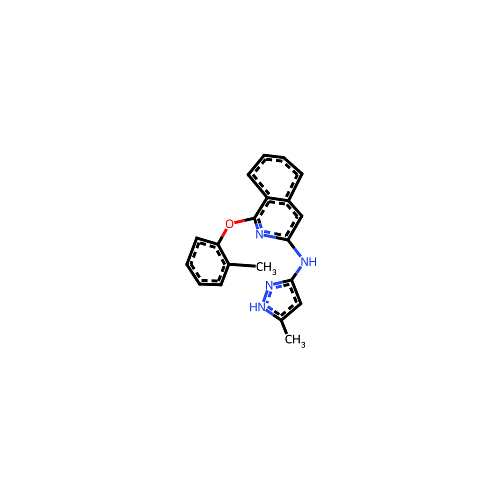 Cc1cc(Nc2cc3ccccc3c(Oc3ccccc3C)n2)n[nH]1